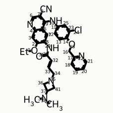 CCOc1cc2ncc(C#N)c(Nc3ccc(OCc4ccccn4)c(Cl)c3)c2cc1NC(=O)/C=C/CN1CC(N(C)C)C1